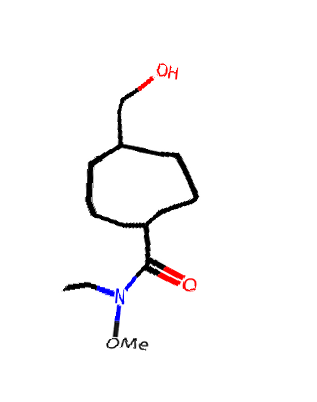 CON(C)C(=O)C1CCC(CO)CC1